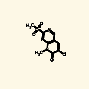 Cn1c(=O)c(Cl)cc2cnc(S(C)(=O)=O)nc21